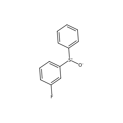 [O-][S+](c1ccccc1)c1cccc(F)c1